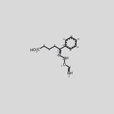 N=COB/N=C(/CCCC(=O)O)c1ccccc1